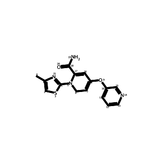 Cc1csc(N2CC=C(Oc3cccnc3)C=C2C(N)=O)n1